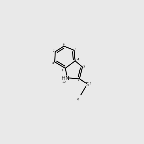 ISc1cc2ccccc2[nH]1